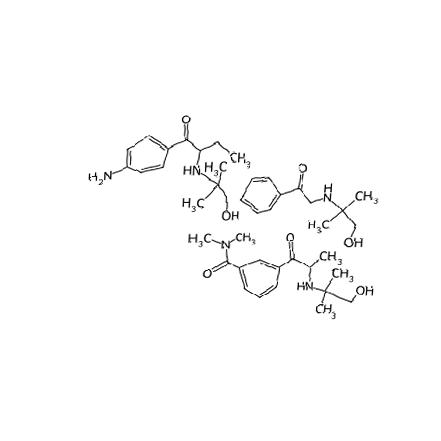 CC(C)(CO)NCC(=O)c1ccccc1.CC(NC(C)(C)CO)C(=O)c1cccc(C(=O)N(C)C)c1.CCC(NC(C)(C)CO)C(=O)c1ccc(N)cc1